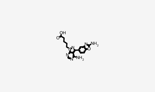 Nc1nc2cc(-c3nn(CCCCC(=O)O)c4ncnc(N)c34)ccc2o1